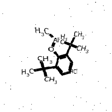 Cl.[CH3][Al][O]c1c(C(C)(C)C)cccc1C(C)(C)C